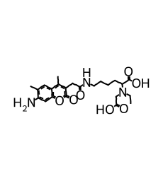 CCN(CC(=O)O)C(CCCCNC(=O)Cc1c(C)c2cc(C)c(N)cc2oc1=O)C(=O)O